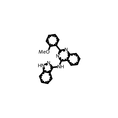 COc1ccccc1-c1nc(Nc2n[nH]c3ccccc23)c2ccccc2n1